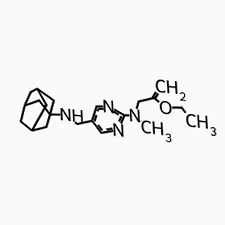 C=C(CN(C)c1ncc(CNC23CC4CC(CC(C4)C2)C3)cn1)OCC